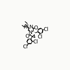 CCN(CC)CCN(C(=O)C1(c2ccc(Cl)cc2Cl)CC1)[C@@H](Cc1ccc(Cl)cc1Cl)C(N)=O